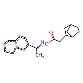 C/C(=N\OC(=O)CC1CC2CCC1C2)c1ccc2ccccc2c1